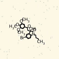 CCCCN1C(=O)C(O)(CC(=O)c2cc(OC)c(OC)c(OC)c2)c2cc(Br)ccc21